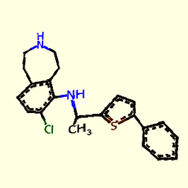 CC(Nc1c(Cl)ccc2c1CCNCC2)c1ccc(-c2ccccc2)s1